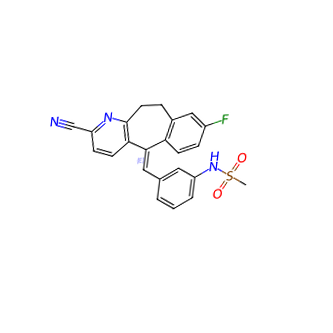 CS(=O)(=O)Nc1cccc(/C=C2\c3ccc(F)cc3CCc3nc(C#N)ccc32)c1